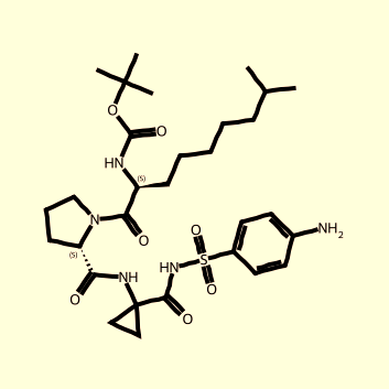 CC(C)CCCCC[C@H](NC(=O)OC(C)(C)C)C(=O)N1CCC[C@H]1C(=O)NC1(C(=O)NS(=O)(=O)c2ccc(N)cc2)CC1